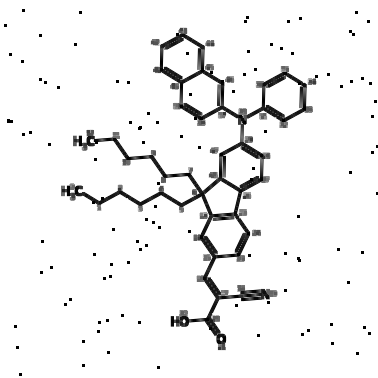 CCCCCCC1(CCCCCC)c2cc(/C=C(\C#N)C(=O)O)ccc2-c2ccc(N(c3ccccc3)c3ccc4ccccc4c3)cc21